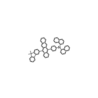 CC1(C)c2ccccc2-c2cc(-c3c4ccccc4c(-c4ccc(N(c5cccc6ccccc56)c5cccc6ccccc56)cc4)c4cc5ccccc5cc34)ccc21